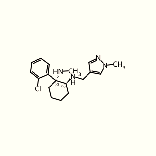 CN[C@@]1(c2ccccc2Cl)CCCC[C@@H]1NCc1cnn(C)c1